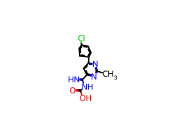 Cc1nc(C(=N)NC(=O)O)cc(-c2ccc(Cl)cc2)n1